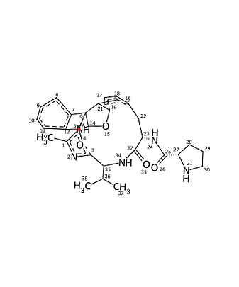 Cc1nc2oc1C13c4ccccc4NC1Oc1ccc(cc13)C[C@H](NC(=O)[C@@H]1CCCN1)C(=O)NC2C(C)C